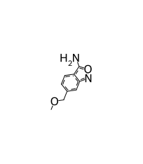 COCc1ccc2c(N)onc2c1